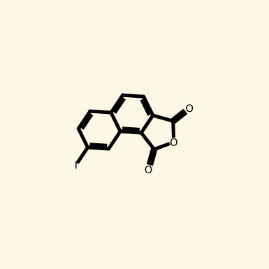 O=C1OC(=O)c2c1ccc1ccc(I)cc21